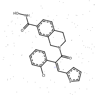 O=C(NO)c1ccc2c(c1)CN(C(=O)/C(=C\c1cccs1)c1ccccc1Cl)CC2